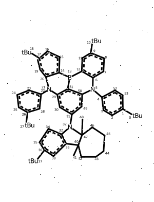 CC(C)(C)c1ccc(N2c3ccc(C(C)(C)C)cc3B3c4ccc(C(C)(C)C)cc4N(c4cccc(C(C)(C)C)c4)c4cc(N5c6ccc(C(C)(C)C)cc6C6(C)CCCCCC56C)cc2c43)cc1